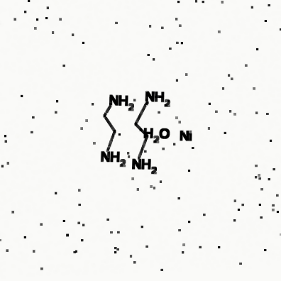 NCCN.NCCN.O.[Ni]